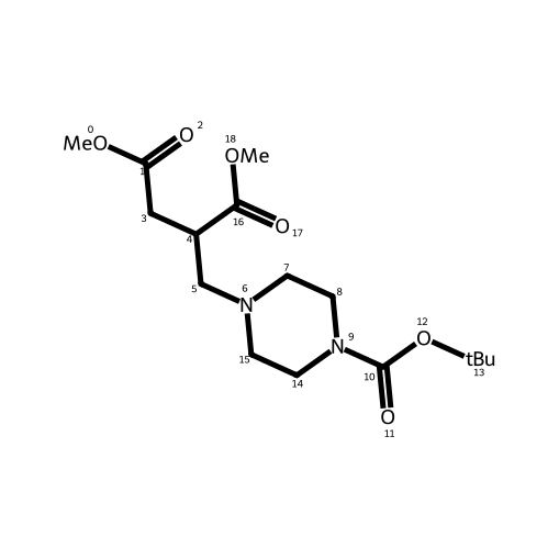 COC(=O)CC(CN1CCN(C(=O)OC(C)(C)C)CC1)C(=O)OC